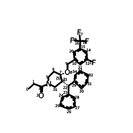 CCC(=O)N1CC[C@H](OCc2cc(F)cc(C(F)(F)F)c2)[C@H](C(c2ccccc2)c2ccccc2)C1